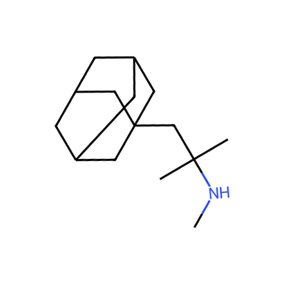 CNC(C)(C)CC12CC3CC(CC(C3)C1)C2